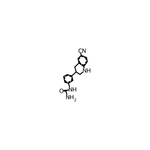 N#Cc1ccc2c(c1)CC(c1cccc(NC(N)=O)c1)CN2